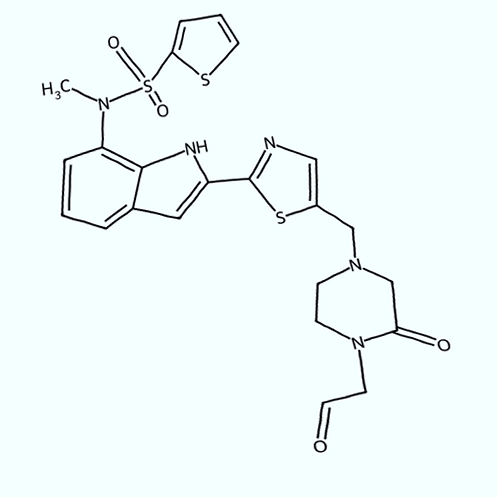 CN(c1cccc2cc(-c3ncc(CN4CCN(CC=O)C(=O)C4)s3)[nH]c12)S(=O)(=O)c1cccs1